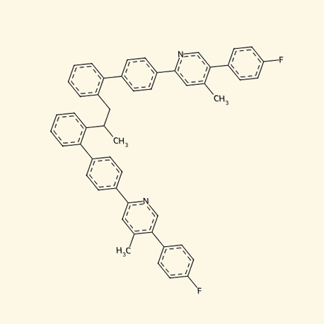 Cc1cc(-c2ccc(-c3ccccc3CC(C)c3ccccc3-c3ccc(-c4cc(C)c(-c5ccc(F)cc5)cn4)cc3)cc2)ncc1-c1ccc(F)cc1